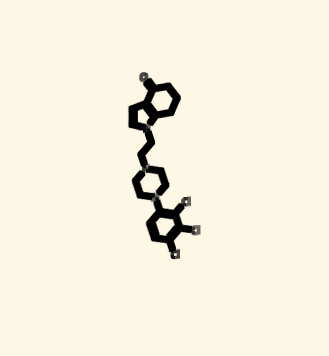 O=C1CCCc2c1ccn2CCN1CCN(c2ccc(Cl)c(Cl)c2Cl)CC1